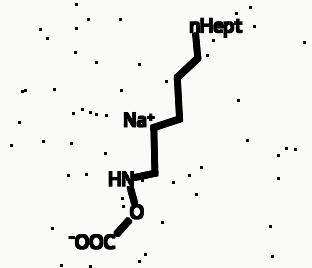 CCCCCCCCCCCCNOC(=O)[O-].[Na+]